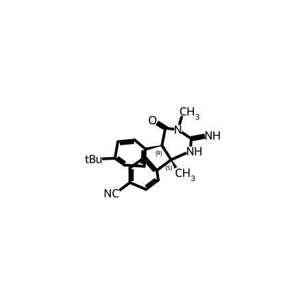 CN1C(=N)N[C@](C)(c2ccc(C#N)cc2)[C@@H](c2ccc(C(C)(C)C)cc2)C1=O